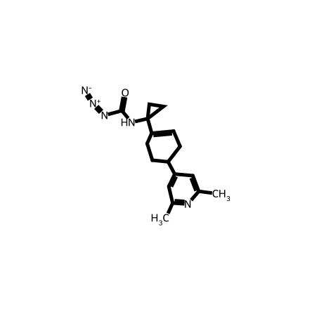 Cc1cc(C2CC=C(C3(NC(=O)N=[N+]=[N-])CC3)CC2)cc(C)n1